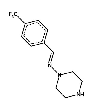 FC(F)(F)c1ccc(/C=N/N2CCNCC2)cc1